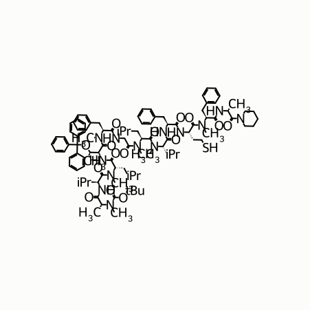 CC(C)C[C@@H](C(=O)N(C)[C@H](C(=O)N[C@@H](Cc1ccccc1)C(=O)N[C@@H](CCS)C(=O)N(C)[C@@H](Cc1ccccc1)C(=O)N[C@@H](C)C(=O)N1CCCCC1)C(C)C)N(C)C(=O)CNC(=O)[C@H](Cc1ccccc1)N(C)C(=O)[C@@H](NC(=O)[C@H](CC(C)C)N(C)C(=O)[C@@H](NC(=O)[C@H](C)N(C)C(=O)OC(C)(C)C)C(C)C)[C@@H](C)OC(c1ccccc1)(c1ccccc1)c1ccccc1